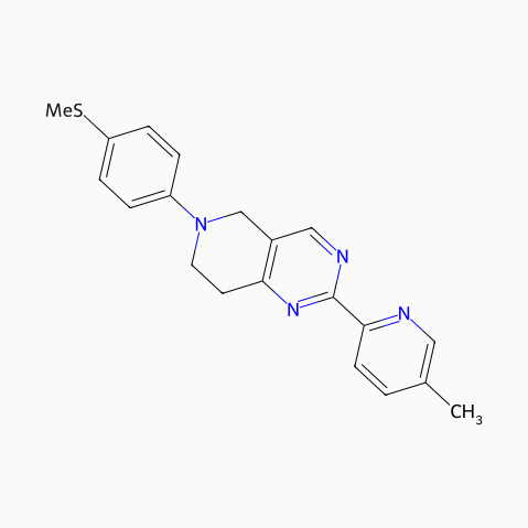 CSc1ccc(N2CCc3nc(-c4ccc(C)cn4)ncc3C2)cc1